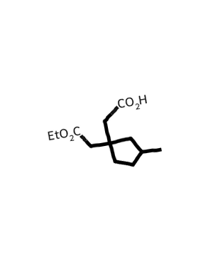 CCOC(=O)CC1(CC(=O)O)CCC(C)C1